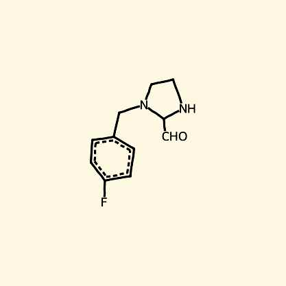 O=CC1NCCN1Cc1ccc(F)cc1